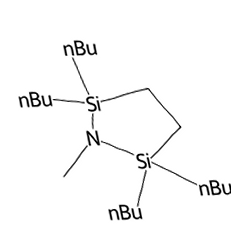 CCCC[Si]1(CCCC)CC[Si](CCCC)(CCCC)N1C